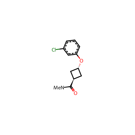 CNC(=O)[C@H]1C[C@H](Oc2cccc(Cl)c2)C1